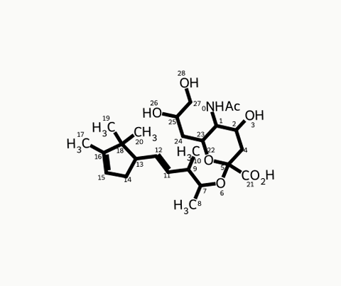 CC(=O)NC1C(O)CC(OC(C)C(C)/C=C/C2CC=C(C)C2(C)C)(C(=O)O)OC1CC(O)CO